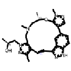 Cc1nn(C[C@H](C)O)c2c1/C=C/c1n[nH]c3ccc(cc13)-c1cnn(C)c1O[C@@H](C)CN(C)C2